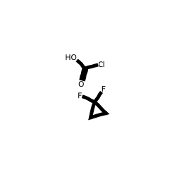 FC1(F)CC1.O=C(O)Cl